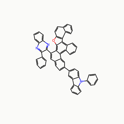 c1ccc(-c2nc3ccccc3nc2-c2cc3ccc(-c4ccc5c(c4)c4ccccc4n5-c4ccccc4)cc3c3c4ccccc4c4c(oc5ccc6ccccc6c54)c23)cc1